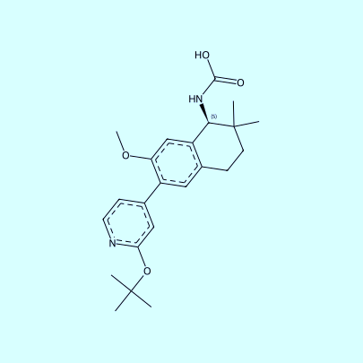 COc1cc2c(cc1-c1ccnc(OC(C)(C)C)c1)CCC(C)(C)[C@@H]2NC(=O)O